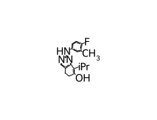 Cc1cc(Nc2ncc3c(n2)C(C(C)C)=C(O)CC3)ccc1F